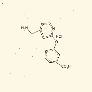 Cl.NCc1ccnc(Oc2cccc(C(=O)O)c2)c1